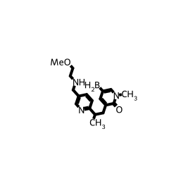 Bc1cc(CC(C)c2ccc(CNCCOC)cn2)c(=O)n(C)c1